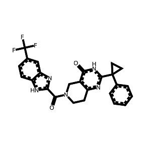 O=C(c1nc2cc(C(F)(F)F)ccc2[nH]1)N1CCc2nc(C3(c4ccccc4)CC3)[nH]c(=O)c2C1